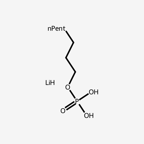 CCCCCCCCOP(=O)(O)O.[LiH]